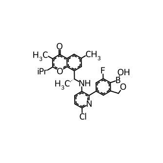 Cc1cc([C@@H](C)Nc2ccc(Cl)nc2-c2cc(F)c3c(c2)COB3O)c2oc(C(C)C)c(C)c(=O)c2c1